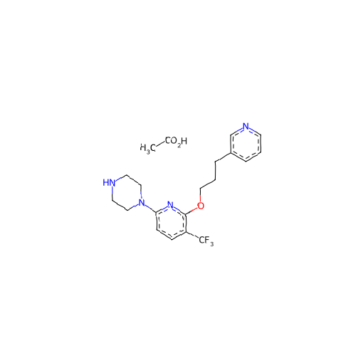 CC(=O)O.FC(F)(F)c1ccc(N2CCNCC2)nc1OCCCc1cccnc1